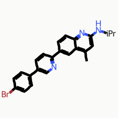 Cc1cc(NC(C)C)nc2ccc(-c3ccc(-c4ccc(Br)cc4)cn3)cc12